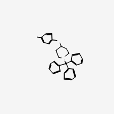 Brc1ccc(SC2CCN(C(c3ccccc3)(c3ccccc3)c3ccccc3)CC2)cc1